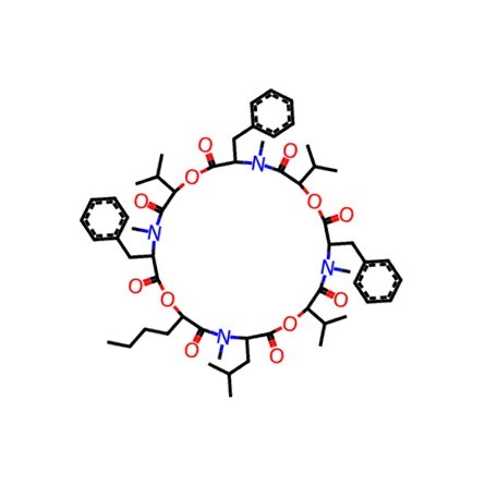 CCCCC1OC(=O)C(Cc2ccccc2)N(C)C(=O)C(C(C)C)OC(=O)C(Cc2ccccc2)N(C)C(=O)C(C(C)C)OC(=O)C(Cc2ccccc2)N(C)C(=O)C(C(C)C)OC(=O)C(CC(C)C)N(C)C1=O